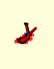 CCCCCCCCCCCCC/C=C/[C@@H](O)[C@H](CO[C@@H]1OC(CO)[C@@H](O[C@@H]2OC(CO)[C@H](O)[C@H](O[C@]3(C(=O)O)CC(O)[C@@H](NC(C)=O)C([C@H](O)[C@@H](CO)O[C@]4(C(=O)O)CC(O)[C@@H](NC(C)=O)C([C@H](O)[C@H](O)CO)O4)O3)C2O)[C@H](O)C1O)NC(=O)CCCCCCCCCCCCCCCCC